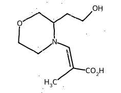 CC(=CN1CCOCC1CCO)C(=O)O